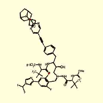 COC(=O)NC(C(=O)NN(Cc1c(F)cc(-c2cn(C(F)F)cn2)cc1F)CC(O)C(Cc1ccc(C#Cc2cnc(N3CC4CCC(C3)N4C3COC3)nc2)cc1)NC(=O)C(NC(=O)O)C(C)(C)C(F)(F)F)C(C)(C)C(F)(F)F